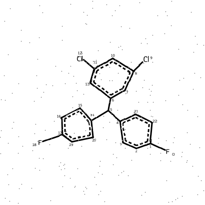 Fc1ccc(C(c2[c]c(Cl)cc(Cl)c2)c2ccc(F)cc2)cc1